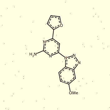 COc1ccc2c(c1)nnn2-c1cc(-c2ccco2)nc(N)n1